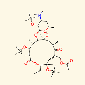 CC[C@H]1OC(=O)[C@H](C)[C@@H](O[Si](C)(C)C)[C@H](C)[C@@H](O[C@@H]2O[C@H](C)C[C@H](N(C)C)[C@H]2O[Si](C)(C)C)[C@@](C)(OC)C[C@@H](C)C(=O)/C(COC(C)=O)=C/[C@]1(C)O[Si](C)(C)C